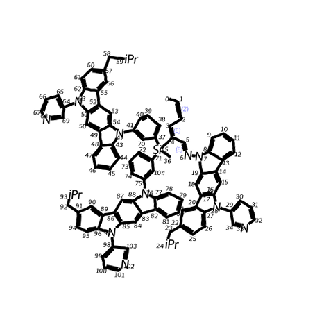 C\C=C/C=C(\C=N\n1c2ccccc2c2cc3c(cc21)c1cc(CC(C)C)ccc1n3-c1cccnc1)[Si](C)(c1cccc(-n2c3ccccc3c3cc4c(cc32)c2cc(CC(C)C)ccc2n4-c2cccnc2)c1)c1cccc(-n2c3ccccc3c3cc4c(cc32)c2cc(CC(C)C)ccc2n4-c2cccnc2)c1